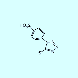 O=S(=O)(O)c1ccc(-n2nnnc2[S])cc1